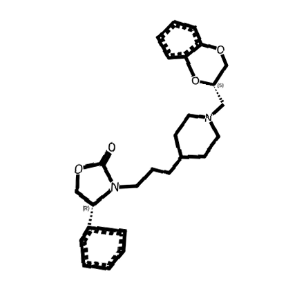 O=C1OC[C@@H](c2ccccc2)N1CCCC1CCN(C[C@H]2COc3ccccc3O2)CC1